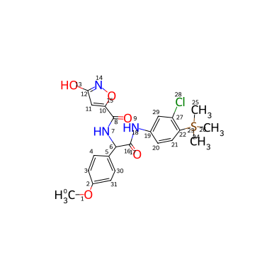 COc1ccc(C(NC(=O)c2cc(O)no2)C(=O)Nc2ccc(S(C)(C)C)c(Cl)c2)cc1